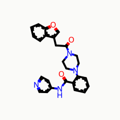 O=C(Nc1ccncc1)c1ccccc1N1CCN(C(=O)Cc2coc3ccccc23)CC1